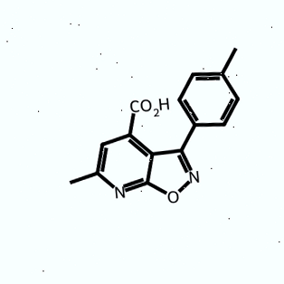 Cc1ccc(-c2noc3nc(C)cc(C(=O)O)c23)cc1